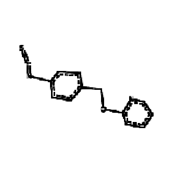 S=C=Nc1ccc(COc2ccccn2)cc1